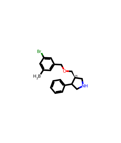 Bc1cc(Br)cc(COC[C@H]2CNCC2c2ccccc2)c1